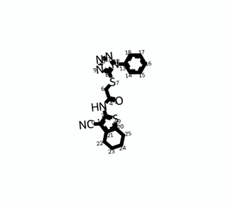 N#Cc1c(NC(=O)CSc2nnnn2-c2ccccc2)sc2c1CCCC2